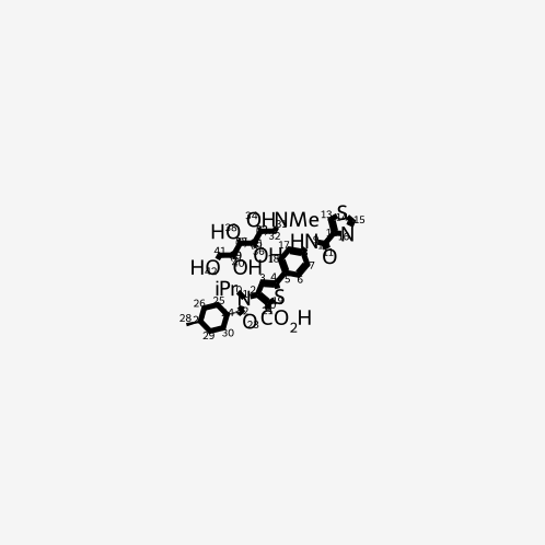 CC(C)N(c1cc(-c2ccc(NC(=O)c3cscn3)cc2)sc1C(=O)O)C(=O)[C@H]1CC[C@H](C)CC1.CNC[C@H](O)[C@@H](O)[C@H](O)[C@H](O)CO